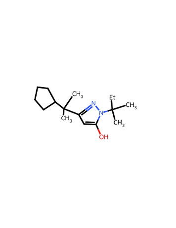 CCC(C)(C)n1nc(C(C)(C)C2CCCC2)cc1O